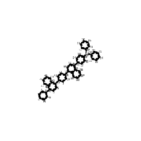 c1ccc(-c2ccc(-c3ccc(-c4ccc(-c5ccc(N(c6ccccc6)c6ccccc6)cc5)c5ccccc45)cc3)c3ccccc23)cc1